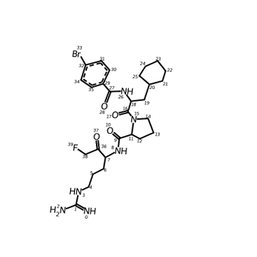 N=C(N)NCCCC(NC(=O)C1CCCN1C(=O)C(CC1CCCCC1)NC(=O)c1ccc(Br)cc1)C(=O)CF